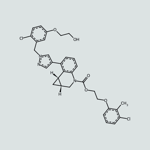 Cc1c(Cl)cccc1OCCOC(=O)N1C[C@@H]2C[C@@H]2c2c(-c3cnn(Cc4cc(OCCO)ccc4Cl)c3)cccc21